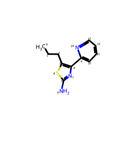 CCCc1sc(N)nc1-c1ccccn1